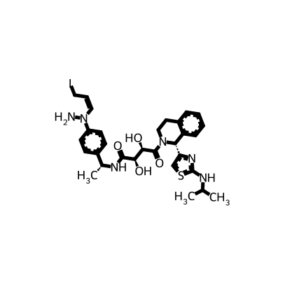 CC(C)Nc1nc([C@H]2c3ccccc3CCN2C(=O)[C@H](O)[C@@H](O)C(=O)N[C@H](C)c2ccc(N(N)/C=C\CI)cc2)cs1